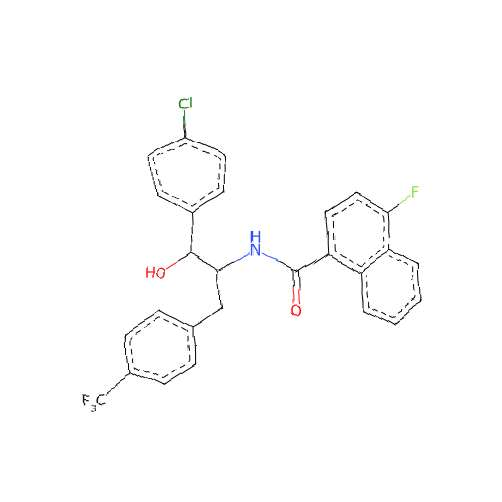 O=C(NC(Cc1ccc(C(F)(F)F)cc1)C(O)c1ccc(Cl)cc1)c1ccc(F)c2ccccc12